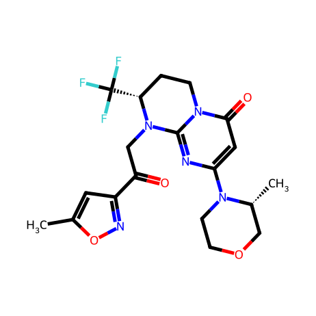 Cc1cc(C(=O)CN2c3nc(N4CCOC[C@H]4C)cc(=O)n3CC[C@H]2C(F)(F)F)no1